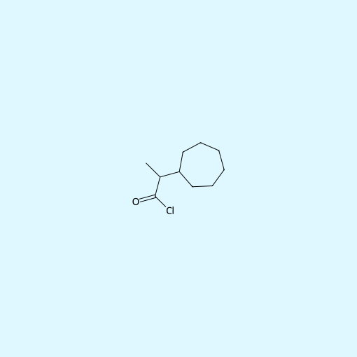 CC(C(=O)Cl)C1CCCCCC1